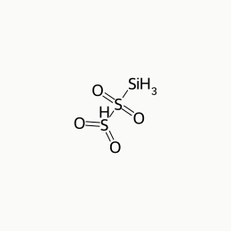 O=[SH](=O)S(=O)(=O)[SiH3]